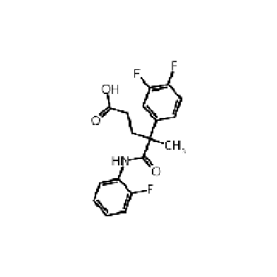 CC(CCC(=O)O)(C(=O)Nc1ccccc1F)c1ccc(F)c(F)c1